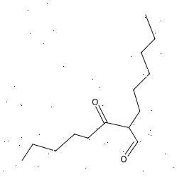 CCCCCCC([C]=O)C(=O)CCCCC